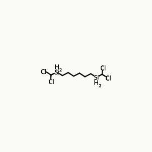 ClC(Cl)[SiH2]CCCCCC[SiH2]C(Cl)Cl